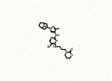 Cc1nn(C2CC3CCC(C2)N3C)cc1Nc1ncc(Br)c(NCCCN2CCCOC2=O)n1